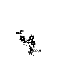 CCCc1nc(C(F)(F)C(F)(F)F)c(C(=O)O)n1Cc1ccc(-c2ccccc2-c2nnn(C(=O)c3ccc(CON(O)O)cc3)n2)cc1